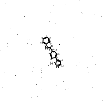 c1ccc2sc(-c3ccc(-c4ccn[nH]4)cc3)nc2c1